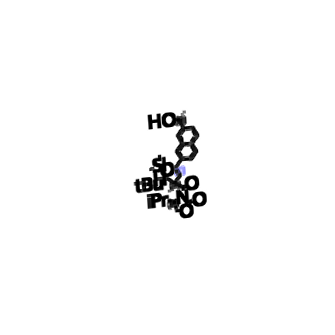 CC(C)[C@@H]1COC(=O)N1C(=O)[C@](C)(/C=C/c1ccc2ccc([C@@H](C)O)cc2c1)C(O[SiH](C)C)C(C)(C)C